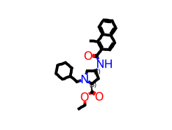 CCOC(=O)[C@@H]1C[C@@H](NC(=O)c2ccc3ccccc3c2C)CN1CC1CCCCC1